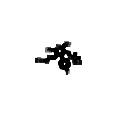 CC(C)c1nc(C(C)C)c(CO[Si](C)(C)C(C)(C)C)c(-c2ccc(F)cc2)c1C=NOC(C)(C)C